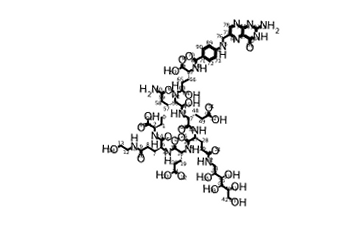 CC[C@@H](NC(=O)[C@H](CCC(=O)NCCO)NC(=O)[C@@H](CCC(=O)O)NC(=O)[C@H](CCC(=O)NC[C@H](O)[C@@H](O)[C@H](O)[C@H](O)CO)NC(=O)[C@@H](CCC(=O)O)NC(O)[C@H](CCC(N)=O)NC(O)CC[C@@H](NC(=O)c1ccc(NCc2cnc3nc(N)[nH]c(=O)c3n2)cc1)C(=O)O)C(=O)O